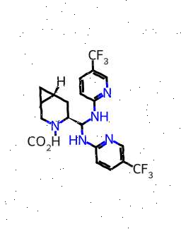 O=C(O)N1CC2C[C@@H]2C[C@H]1C(Nc1ccc(C(F)(F)F)cn1)Nc1ccc(C(F)(F)F)cn1